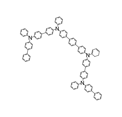 C1=CCCC(N(c2ccc(-c3ccc(-c4ccc(N(c5ccccc5)c5ccc(-c6ccc(N(c7ccccc7)c7ccc(-c8ccccc8)cc7)cc6)cc5)cc4)cc3)cc2)c2ccc(-c3ccc(N(c4ccccc4)c4ccc(-c5ccccc5)cc4)cc3)cc2)=C1